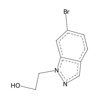 OCCn1ncc2ccc(Br)cc21